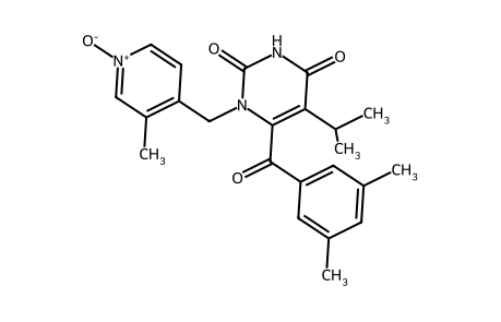 Cc1cc(C)cc(C(=O)c2c(C(C)C)c(=O)[nH]c(=O)n2Cc2cc[n+]([O-])cc2C)c1